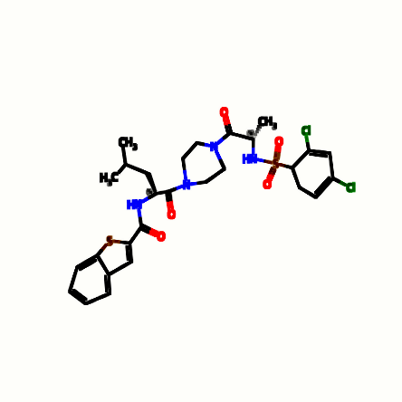 CC(C)C[C@H](NC(=O)c1cc2ccccc2s1)C(=O)N1CCN(C(=O)[C@H](C)NS(=O)(=O)C2CC=C(Cl)C=C2Cl)CC1